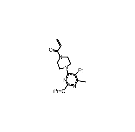 C=CC(=O)N1CCN(c2nc(OC(C)C)nc(C)c2CC)CC1